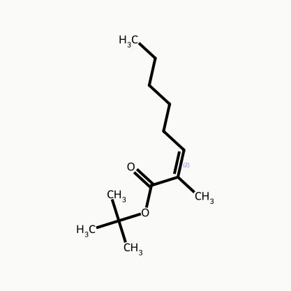 CCCCC/C=C(/C)C(=O)OC(C)(C)C